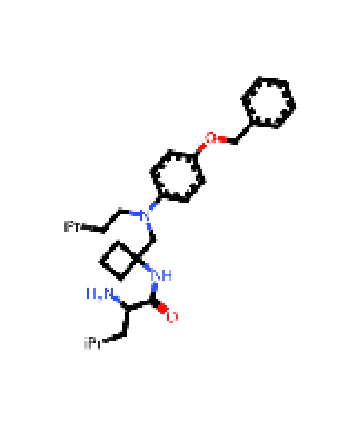 CC(C)CCN(CC1(NC(=O)C(N)CC(C)C)CCC1)c1ccc(OCc2ccccc2)cc1